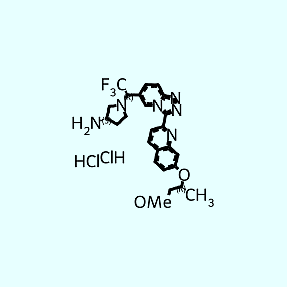 COC[C@@H](C)Oc1ccc2ccc(-c3nnc4ccc([C@@H](N5CC[C@H](N)C5)C(F)(F)F)cn34)nc2c1.Cl.Cl